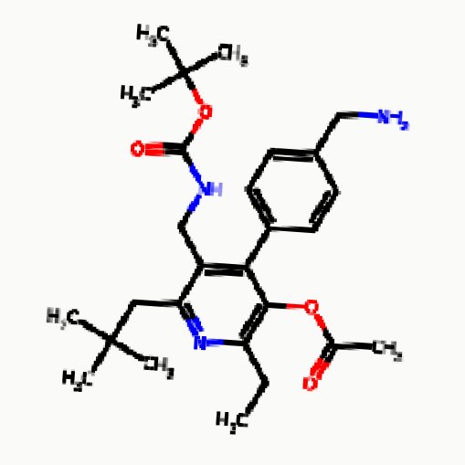 CCc1nc(CC(C)(C)C)c(CNC(=O)OC(C)(C)C)c(-c2ccc(CN)cc2)c1OC(C)=O